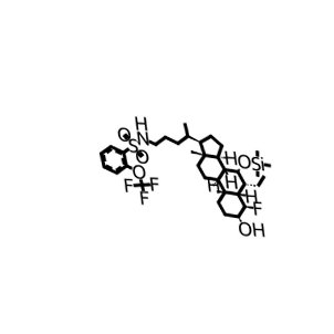 CC[C@H]1[C@@H](O[Si](C)(C)C)[C@@H]2[C@H](CC[C@]3(C)[C@@H](C(C)CCCNS(=O)(=O)c4ccccc4OC(F)(F)F)CC[C@@H]23)[C@@]2(C)CC[C@@H](O)[C@H](F)[C@@H]12